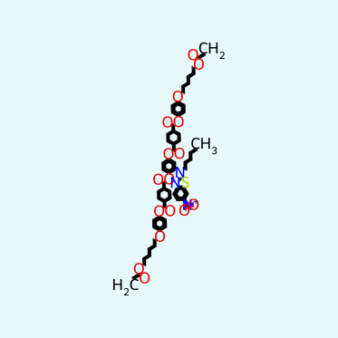 C=CC(=O)OCCCCCCOc1ccc(OC(=O)C2CCC(C(=O)Oc3ccc(OC(=O)C4CCC(C(=O)Oc5ccc(OCCCCCCOC(=O)C=C)cc5)CC4)c(N(CCCCCC)c4nc5ccc([N+](=O)[O-])cc5s4)c3)CC2)cc1